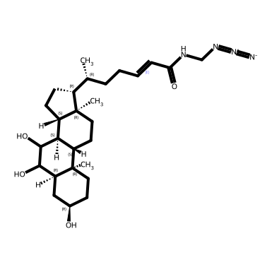 C[C@H](CC/C=C/C(=O)NCN=[N+]=[N-])[C@H]1CC[C@H]2[C@@H]3C(O)C(O)[C@@H]4C[C@H](O)CC[C@]4(C)[C@H]3CC[C@]12C